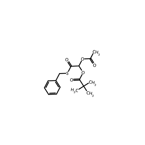 CC(=O)OC(OC(=O)C(C)(C)C)C(=O)SCc1ccccc1